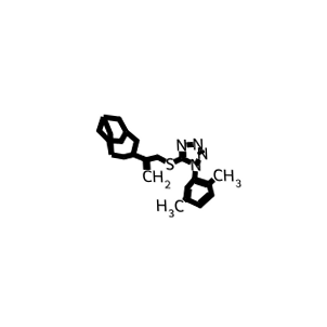 C=C(CSc1nnnn1-c1cc(C)ccc1C)C1CC2CC3CC(C2)C(C3)C1